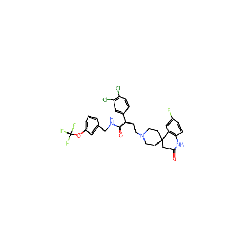 O=C1CC2(CCN(CCC(C(=O)NCc3cccc(OC(F)(F)F)c3)c3ccc(Cl)c(Cl)c3)CC2)c2cc(F)ccc2N1